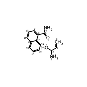 C=CC(N)O.NC(=O)c1cccc2ccccc12